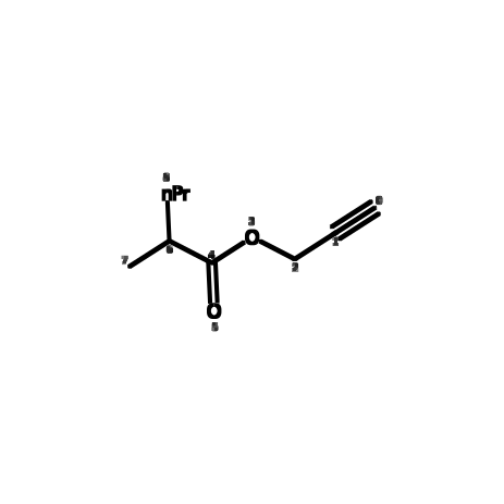 C#CCOC(=O)C(C)CC[CH2]